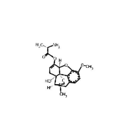 COc1ccc2c3c1O[C@@H]1C(OC(=O)[C@H](C)N)=CC[C@]4(O)[C@H](C2)N(C)CC[C@@]314